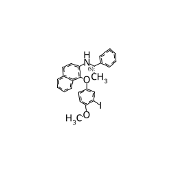 COc1ccc(Oc2c(N[C@@H](C)c3ccccc3)ccc3ccccc23)cc1I